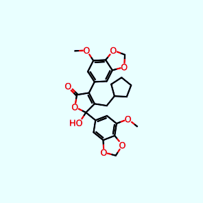 COc1cc(C2=C(CC3CCCC3)C(O)(c3cc(OC)c4c(c3)OCO4)OC2=O)cc2c1OCO2